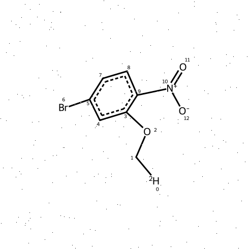 [2H]COc1cc(Br)ccc1[N+](=O)[O-]